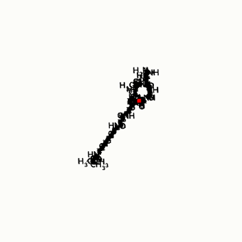 CC(C)=C1NC(=O)[C@@H](Cc2ccc(OCCCNC(=O)CCC(=O)NCCCOCCOCCOCCCNC(=O)OC(C)(C)C)cc2)NC(=O)/C(=C\C(=O)O)NC(=O)CNC(=O)/C(=C/CCNC(=N)N)NC1=O